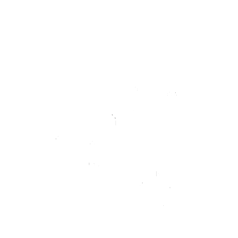 CC(=O)Oc1ccc(B2OC(C)(C)C(C)(C)O2)cc1C(=O)Nc1cc(-c2ccccc2)ccc1C(=O)OC(C)(C)C